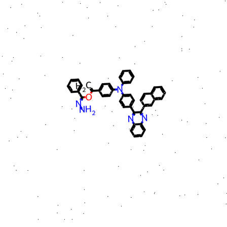 C=C(O/C(=N\N)c1ccccc1)c1ccc(N(c2ccccc2)c2ccc(-c3nc4ccccc4nc3-c3ccc4ccccc4c3)cc2)cc1